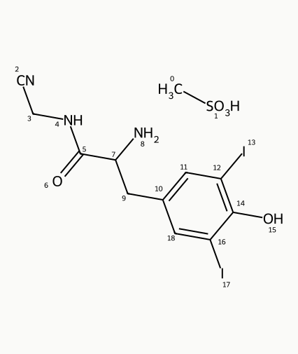 CS(=O)(=O)O.N#CCNC(=O)C(N)Cc1cc(I)c(O)c(I)c1